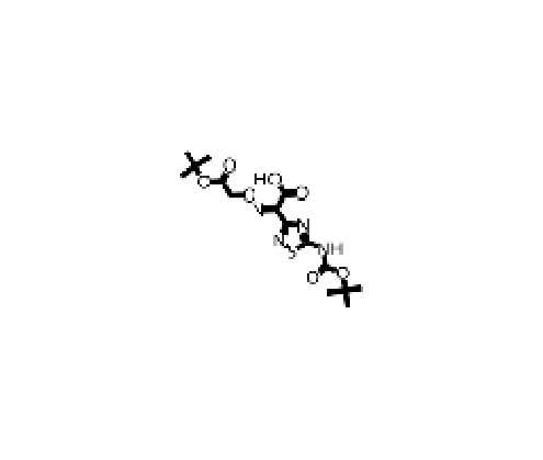 CC(C)(C)OC(=O)CON=C(C(=O)O)c1nsc(NC(=O)OC(C)(C)C)n1